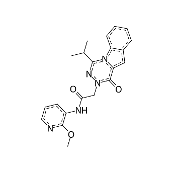 COc1ncccc1NC(=O)Cn1nc(C(C)C)n2c(cc3ccccc32)c1=O